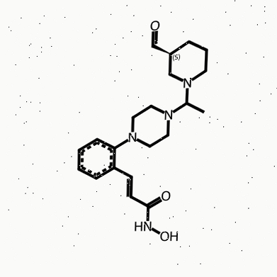 CC(N1CCN(c2ccccc2C=CC(=O)NO)CC1)N1CCC[C@H](C=O)C1